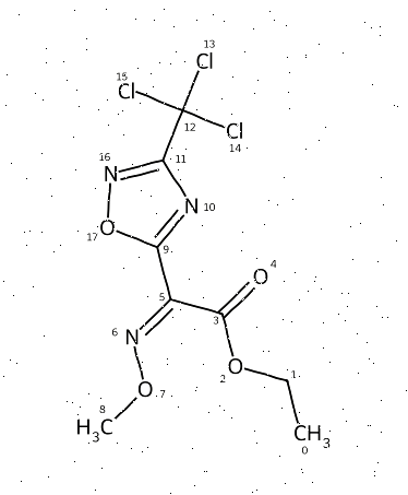 CCOC(=O)/C(=N\OC)c1nc(C(Cl)(Cl)Cl)no1